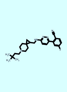 CC(C)(C)CCN1CCC2(CC1)CC2CNc1ccc(-c2cc(F)ccc2C#N)nn1